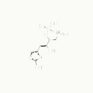 C/C(=C\c1csc(C)n1)[C@H](CC=O)O[Si](C)(C)C(C)(C)C